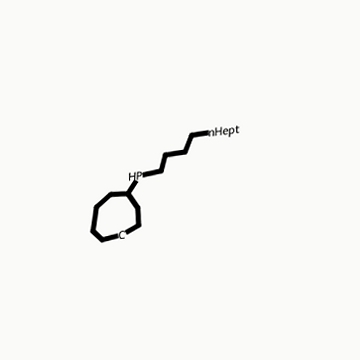 CCCCCCCCCCCPC1CCCCCCC1